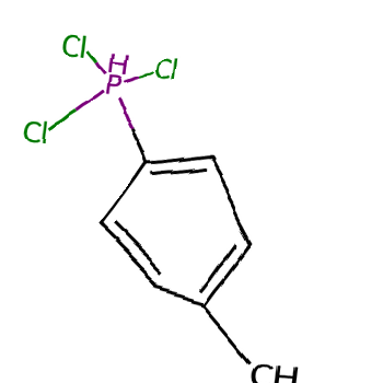 Cc1ccc([PH](Cl)(Cl)Cl)cc1